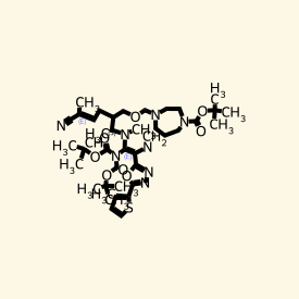 C=N/C(=C(/N(C(=O)OC(C)(C)C)C(=O)OC(C)(C)C)N(C)[C@@H](C)C(C/C=C(\C)C#N)COCN1CCCN(C(=O)OC(C)(C)C)CC1)c1nnc(-c2sccc2C)o1